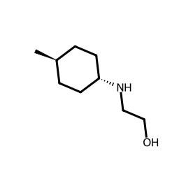 C[C@H]1CC[C@H](NCCO)CC1